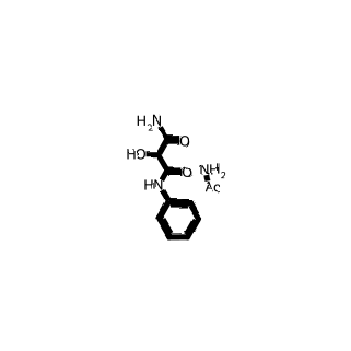 CC(N)=O.NC(=O)C(O)C(=O)Nc1ccccc1